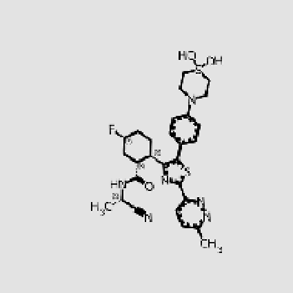 Cc1ccc(-c2nc([C@@H]3CC[C@H](F)C[C@H]3C(=O)N[C@@H](C)C#N)c(-c3ccc(N4CCS(O)(O)CC4)cc3)s2)nn1